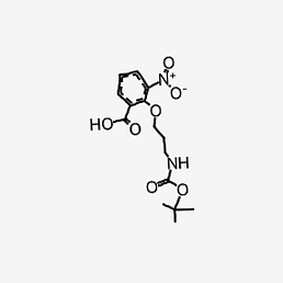 CC(C)(C)OC(=O)NCCCOc1c(C(=O)O)cccc1[N+](=O)[O-]